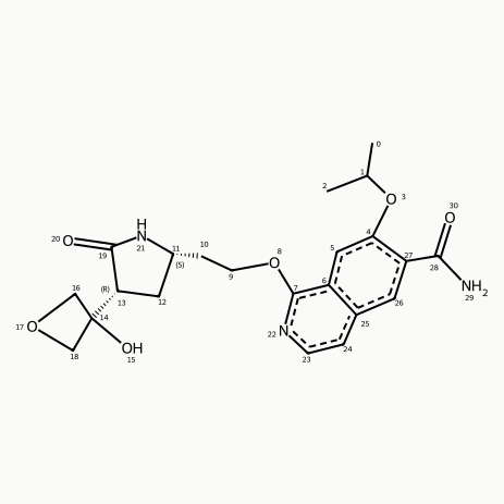 CC(C)Oc1cc2c(OCC[C@@H]3C[C@H](C4(O)COC4)C(=O)N3)nccc2cc1C(N)=O